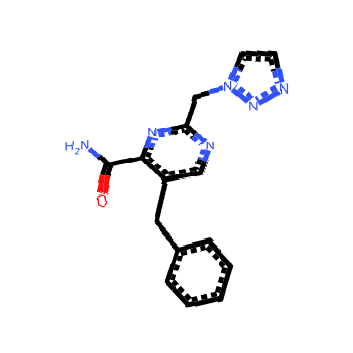 NC(=O)c1nc(Cn2ccnn2)ncc1Cc1ccccc1